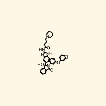 Cl.O=C(CCCN1CCCCC1)Nc1nc2cc(C3(O)c4ccccc4C(=O)N3c3cccc(Oc4ccccc4)c3)ccc2[nH]1